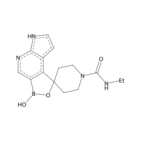 CCNC(=O)N1CCC2(CC1)OB(O)c1cnc3[nH]ccc3c12